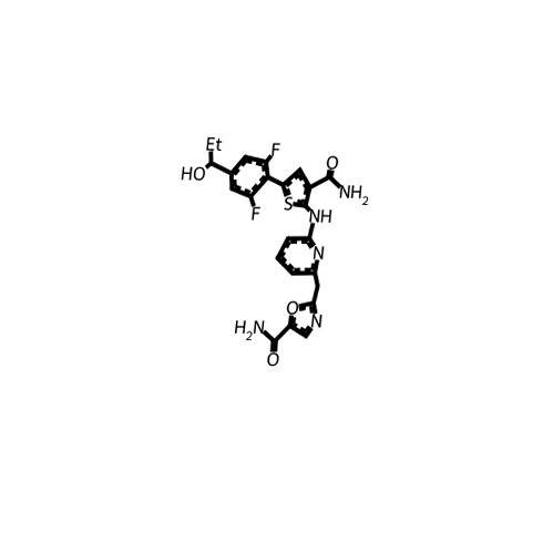 CCC(O)c1cc(F)c(-c2cc(C(N)=O)c(Nc3cccc(Cc4ncc(C(N)=O)o4)n3)s2)c(F)c1